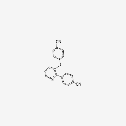 N#Cc1ccc(Cc2cccnc2-c2ccc(C#N)cc2)cc1